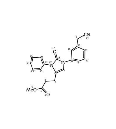 COC(=O)CCc1cn(-c2cccc(CC#N)c2)c(=O)n1-c1ccccc1